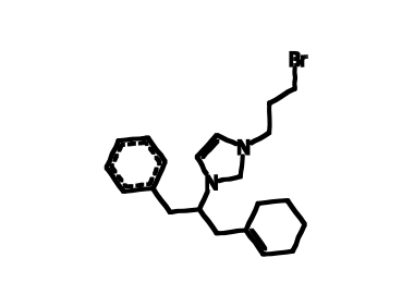 BrCCCN1C=CN(C(CC2=CCCCC2)Cc2ccccc2)C1